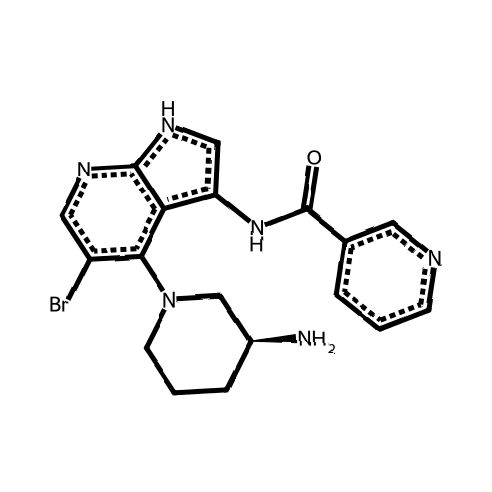 N[C@H]1CCCN(c2c(Br)cnc3[nH]cc(NC(=O)c4cccnc4)c23)C1